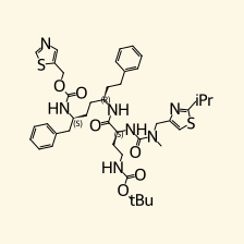 CC(C)c1nc(CN(C)C(=O)N[C@@H](CCNC(=O)OC(C)(C)C)C(=O)N[C@H](CCc2ccccc2)CC[C@@H](Cc2ccccc2)NC(=O)OCc2cncs2)cs1